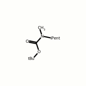 [CH2]CCC([CH2])N(C)C(=O)OC(C)(C)C